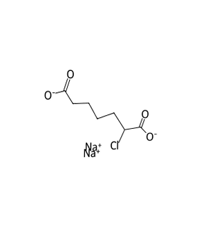 O=C([O-])CCCCC(Cl)C(=O)[O-].[Na+].[Na+]